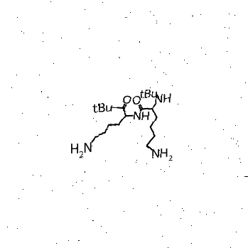 CC(C)(C)NC(CCCCN)C(=O)NC(CCCCN)C(=O)C(C)(C)C